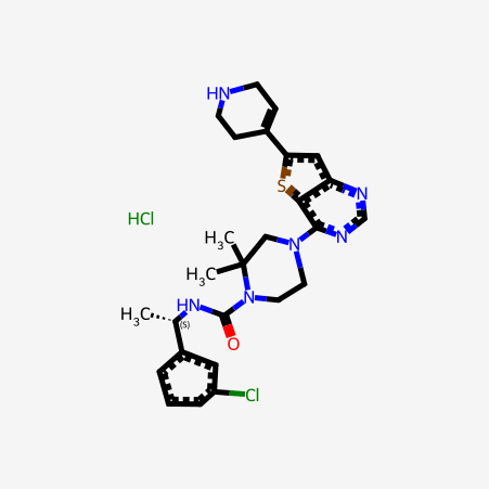 C[C@H](NC(=O)N1CCN(c2ncnc3cc(C4=CCNCC4)sc23)CC1(C)C)c1cccc(Cl)c1.Cl